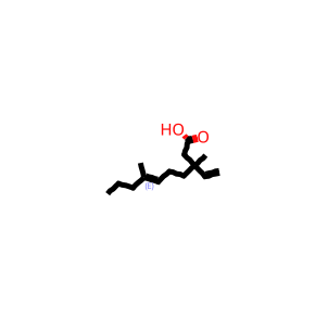 C=CC(C)(CC/C=C(\C)CCC)CC(=O)O